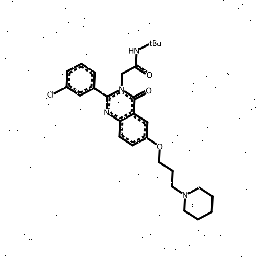 CC(C)(C)NC(=O)Cn1c(-c2cccc(Cl)c2)nc2ccc(OCCCN3CCCCC3)cc2c1=O